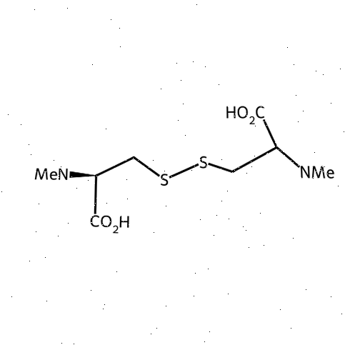 CNC(CSSC[C@H](NC)C(=O)O)C(=O)O